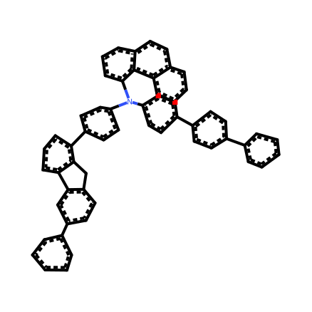 c1ccc(-c2ccc(-c3ccc(N(c4ccc(-c5cccc6c5Cc5ccc(-c7ccccc7)cc5-6)cc4)c4cccc5ccc6ccccc6c45)cc3)cc2)cc1